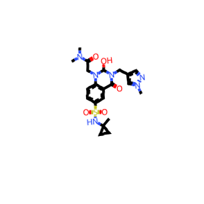 CN(C)C(=O)CN1c2ccc(S(=O)(=O)NC3(C)CC3)cc2C(=O)N(Cc2cnn(C)c2)C1O